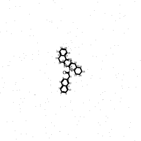 O=C(Cc1ccc2ccccc2c1)Nc1nc2c(nc1CC1CCCCC1)-c1ccccc1CC2